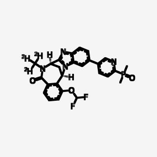 [2H]C([2H])([2H])N1C(=O)c2cccc(OC(F)F)c2[C@H]2C[C@@H]1c1nc3ccc(-c4ccc(P(C)(C)=O)nc4)cc3n12